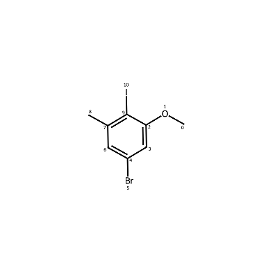 COc1cc(Br)cc(C)c1I